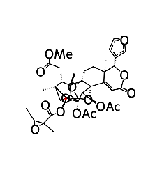 COC(=O)C[C@H]1[C@]2(C)CC34OC5(C)O[C@@]6(CC[C@]7(C)C(=CC(=O)O[C@H]7c7ccoc7)[C@@]6(O5)[C@H](OC(C)=O)[C@@]3(OC(C)=O)[C@H]2OC(=O)C2(C)OC2C)[C@@]14C